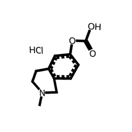 CN1CCc2cc(OC(=O)O)ccc2C1.Cl